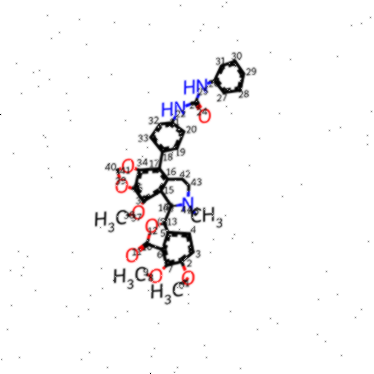 COc1ccc2c(c1OC)C(=O)O[C@@H]2[C@H]1c2c(c(-c3ccc(NC(=O)Nc4ccccc4)cc3)c3c(c2OC)OCO3)CCN1C